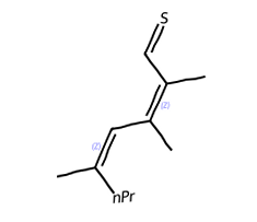 CCC/C(C)=C\C(C)=C(\C)C=S